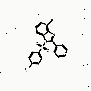 Cc1ccc(S(=O)(=O)n2c(-c3ccccc3)nc3c(F)cccc32)cc1